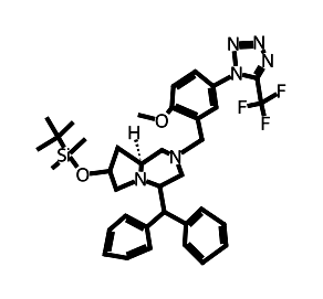 COc1ccc(-n2nnnc2C(F)(F)F)cc1CN1CC(C(c2ccccc2)c2ccccc2)N2CC(O[Si](C)(C)C(C)(C)C)C[C@H]2C1